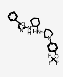 FC(F)(F)Oc1ccc(N2CCC[C@H](N[C@@H]3CCCC[C@H]3Nc3ncc(-c4ccccc4)o3)C2)cc1